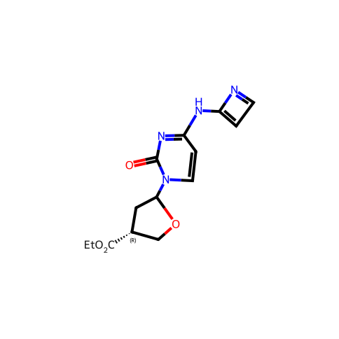 CCOC(=O)[C@H]1COC(n2ccc(NC3=CC=N3)nc2=O)C1